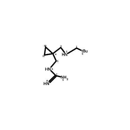 CC(C)(C)CNCC1(CNC(=N)N)CC1